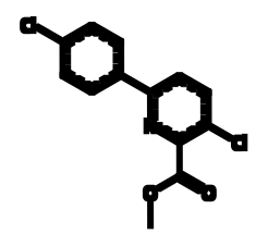 COC(=O)c1nc(-c2ccc(Cl)cc2)ccc1Cl